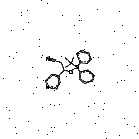 CC(C)(C)[Si](OC(CC#N)c1ccncc1)(c1ccccc1)c1ccccc1